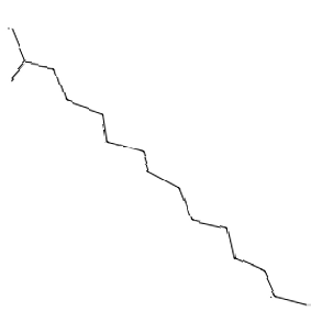 [CH2]C(C)CCCCCCCCCCC[CH]C